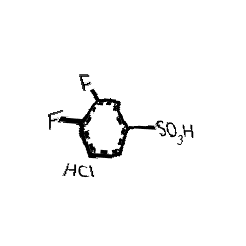 Cl.O=S(=O)(O)c1ccc(F)c(F)c1